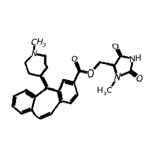 CN1CCC(=C2c3ccccc3C=Cc3ccc(C(=O)OCC4C(=O)NC(=O)N4C)cc32)CC1